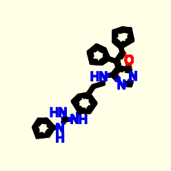 N=C(Nc1ccccc1)Nc1ccc(CCNc2ncnc3oc(-c4ccccc4)c(-c4ccccc4)c23)cc1